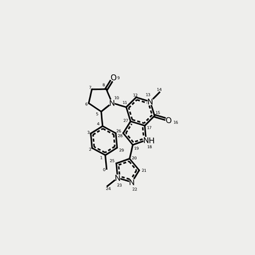 Cc1ccc(C2CCC(=O)N2c2cn(C)c(=O)c3[nH]c(-c4cnn(C)c4)cc23)cc1